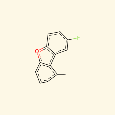 Cc1cccc2oc3ccc(F)cc3c12